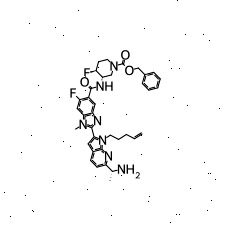 C=CCCCn1c(-c2nc3cc(C(=O)N[C@H]4CN(C(=O)OCc5ccccc5)CC[C@@H]4F)c(F)cc3n2C)cc2ccc([C@@H](C)N)nc21